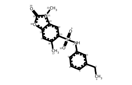 CCc1cccc(NS(=O)(=O)c2cc3c(cc2C)oc(=O)n3C)c1